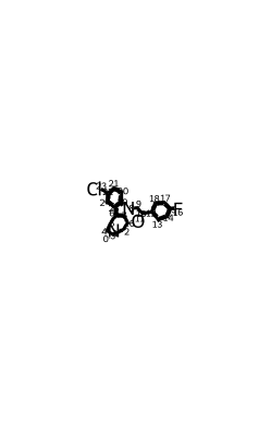 CN1C2CCC1c1c(n(CC(=O)c3ccc(F)cc3)c3ccc(Cl)cc13)C2